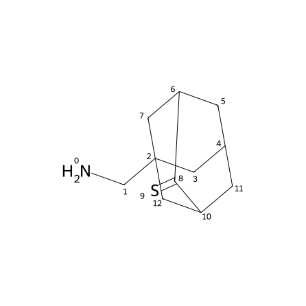 NCC12CC3CC(C1)C(=S)C(C3)C2